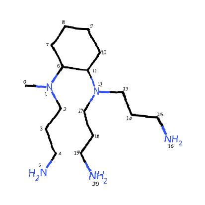 CN(CCCN)C1CCCCC1N(CCCN)CCCN